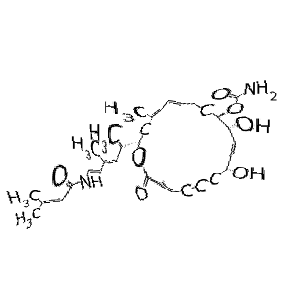 CC(C)=CC(=O)N/C=C/C(C)=C/C(C)[C@@H]1C/C(C)=C/C=C/CC[C@@H](OC(N)=O)[C@H](O)/C=C/[C@H](O)CCC/C=C/C(=O)O1